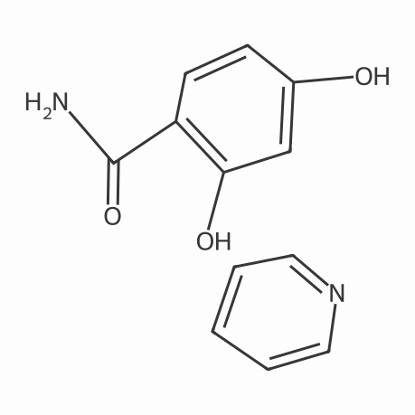 NC(=O)c1ccc(O)cc1O.c1ccncc1